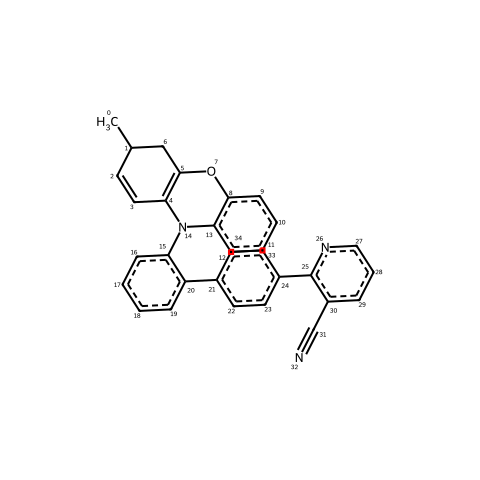 CC1C=CC2=C(C1)Oc1ccccc1N2c1ccccc1-c1ccc(-c2ncccc2C#N)cc1